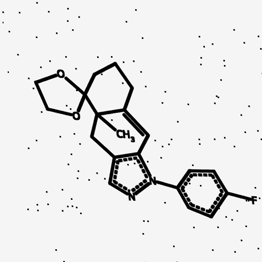 CC12Cc3cnn(-c4ccc(F)cc4)c3C=C1CCCC21OCCO1